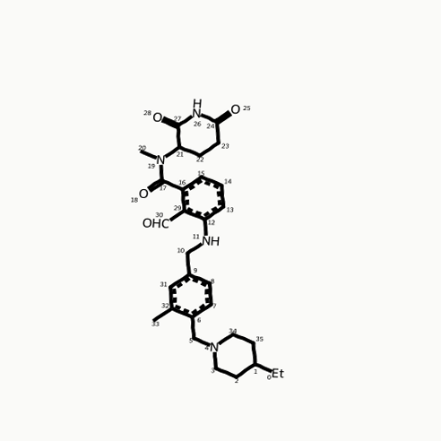 CCC1CCN(Cc2ccc(CNc3cccc(C(=O)N(C)C4CCC(=O)NC4=O)c3C=O)cc2C)CC1